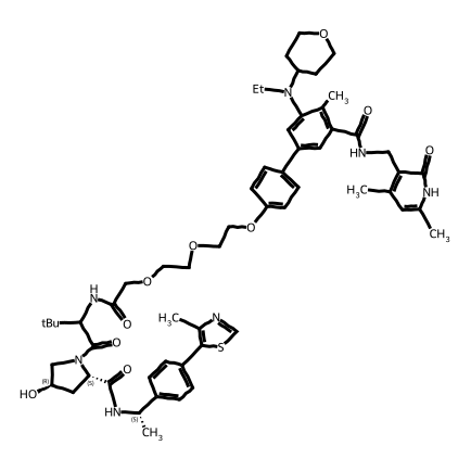 CCN(c1cc(-c2ccc(OCCOCCOCC(=O)NC(C(=O)N3C[C@H](O)C[C@H]3C(=O)N[C@@H](C)c3ccc(-c4scnc4C)cc3)C(C)(C)C)cc2)cc(C(=O)NCc2c(C)cc(C)[nH]c2=O)c1C)C1CCOCC1